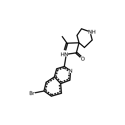 C=C(C)C1(C(=O)Nc2cc3cc(Br)ccc3cn2)CCNCC1